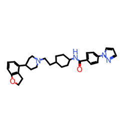 O=C(NC1CCC(CCN2CCC(c3cccc4c3CCO4)CC2)CC1)c1ccc(-n2cccn2)cc1